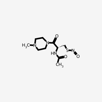 CC(=O)N[C@@H](CSN=O)C(=O)N1CCN(C)CC1